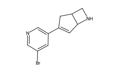 Brc1cncc(C2=CC3NCC3C2)c1